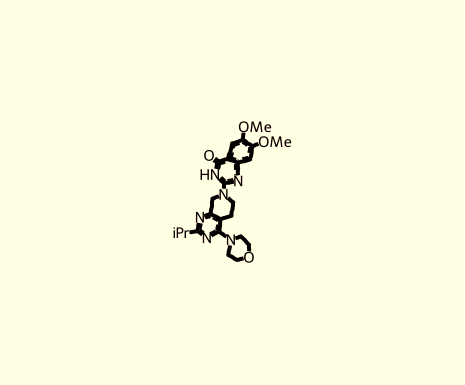 COc1cc2nc(N3CCc4c(nc(C(C)C)nc4N4CCOCC4)C3)[nH]c(=O)c2cc1OC